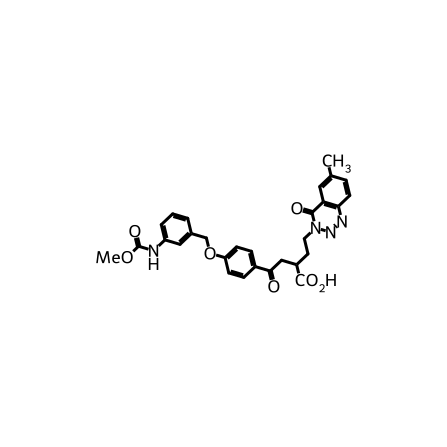 COC(=O)Nc1cccc(COc2ccc(C(=O)CC(CCn3nnc4ccc(C)cc4c3=O)C(=O)O)cc2)c1